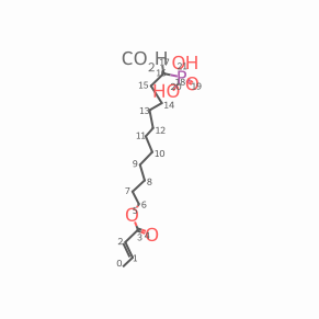 CC=CC(=O)OCCCCCCCCCCC(C(=O)O)P(=O)(O)O